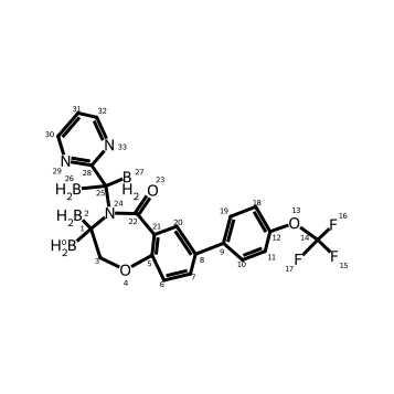 BC1(B)COc2ccc(-c3ccc(OC(F)(F)F)cc3)cc2C(=O)N1C(B)(B)c1ncccn1